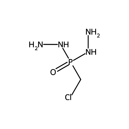 NNP(=O)(CCl)NN